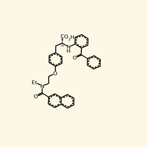 CCN(CCOc1ccc(C[C@H](Nc2ccccc2C(=O)c2ccccc2)C(=O)O)cc1)C(=O)c1ccc2ccccc2c1